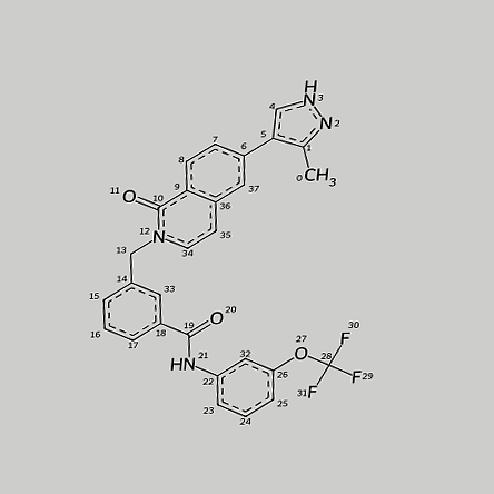 Cc1n[nH]cc1-c1ccc2c(=O)n(Cc3cccc(C(=O)Nc4cccc(OC(F)(F)F)c4)c3)ccc2c1